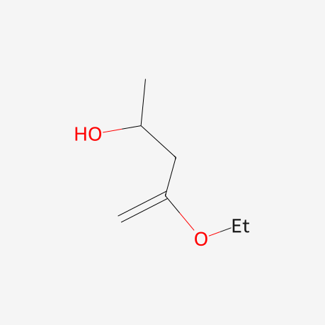 C=C(CC(C)O)OCC